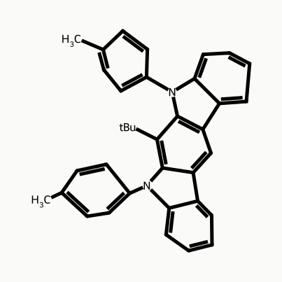 Cc1ccc(-n2c3ccccc3c3cc4c5ccccc5n(-c5ccc(C)cc5)c4c(C(C)(C)C)c32)cc1